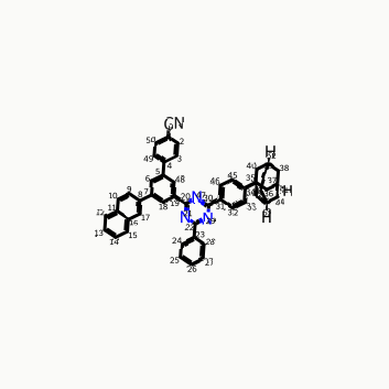 N#Cc1ccc(-c2cc(-c3ccc4ccccc4c3)cc(-c3nc(-c4ccccc4)nc(-c4ccc(C56C[C@H]7C[C@@H](C5)C[C@@H](C6)C7)cc4)n3)c2)cc1